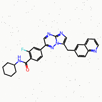 O=C(NC1CCCCC1)c1ccc(-c2cnc3ncc(Cc4ccc5ncccc5c4)n3n2)cc1F